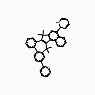 CC1(C)C2=C(c3ccccc3-c3ccc(-c4ccccn4)cc31)C(C)(C)c1cc(C3C=CC=CN3)c3ccccc3c12